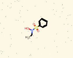 CCN(O)S(=O)(=O)c1cc[c]cc1